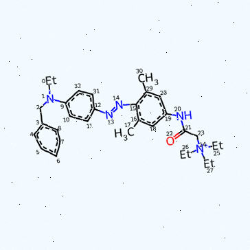 CCN(Cc1ccccc1)c1ccc(/N=N/c2c(C)cc(NC(=O)C[N+](CC)(CC)CC)cc2C)cc1